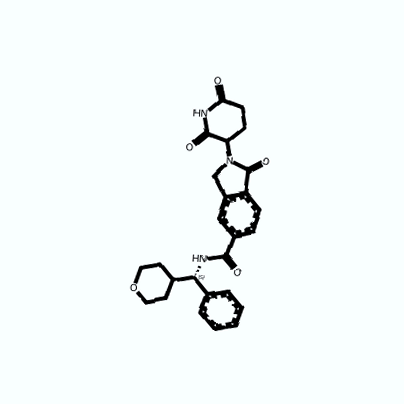 O=C1CCC(N2Cc3cc(C(=O)N[C@H](c4ccccc4)C4CCOCC4)ccc3C2=O)C(=O)N1